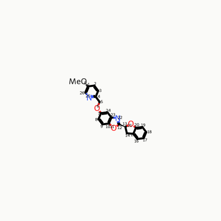 COc1ccc(COc2ccc3oc([C@@H]4Cc5ccccc5O4)nc3c2)nc1